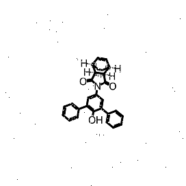 O=C1[C@@H]2[C@H](C(=O)N1c1cc(-c3ccccc3)c(O)c(-c3ccccc3)c1)[C@@H]1C=C[C@H]2CC1